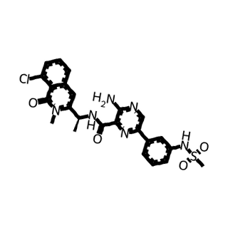 C[C@H](NC(=O)c1nc(-c2cccc(NS(C)(=O)=O)c2)cnc1N)c1cc2cccc(Cl)c2c(=O)n1C